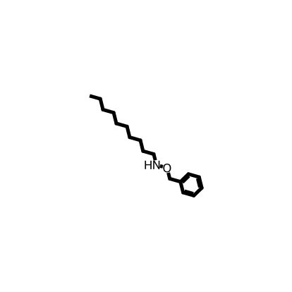 CCCCCCCCCCNOCc1ccccc1